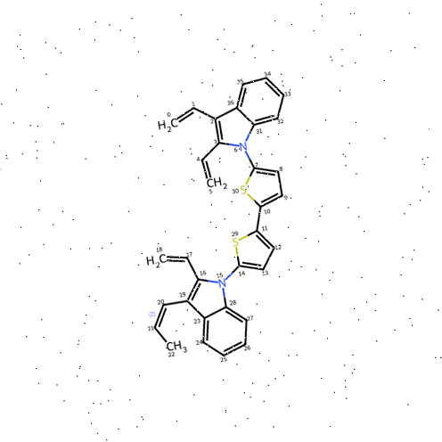 C=Cc1c(C=C)n(-c2ccc(-c3ccc(-n4c(C=C)c(/C=C\C)c5ccccc54)s3)s2)c2ccccc12